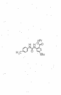 CCCOC(=O)c1sc(C(C)(C)C)cc1NC(=O)Nc1ccc(C)cc1